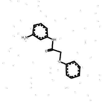 Nc1cccc(NC(=O)COc2ccccc2)c1